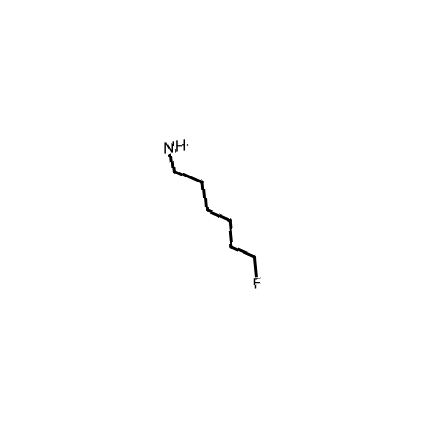 [NH]CCCCCCF